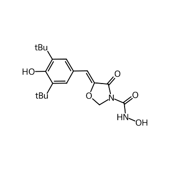 CC(C)(C)c1cc(/C=C2\OCN(C(=O)NO)C2=O)cc(C(C)(C)C)c1O